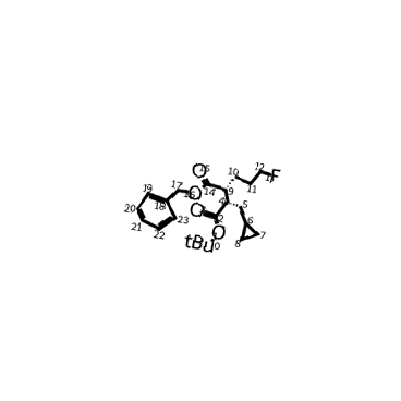 CC(C)(C)OC(=O)[C@@H](CC1CC1)[C@@H](CCCF)C(=O)OCc1ccccc1